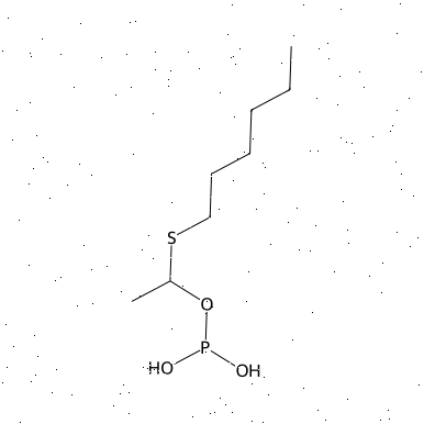 CCCCCCSC(C)OP(O)O